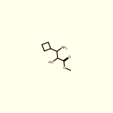 COC(=O)C(O)C(N)C1CCC1